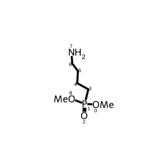 COP(=O)(CCCCN)OC